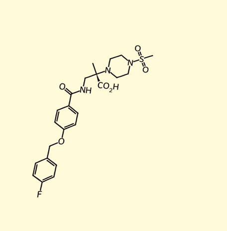 C[C@](CNC(=O)c1ccc(OCc2ccc(F)cc2)cc1)(C(=O)O)N1CCN(S(C)(=O)=O)CC1